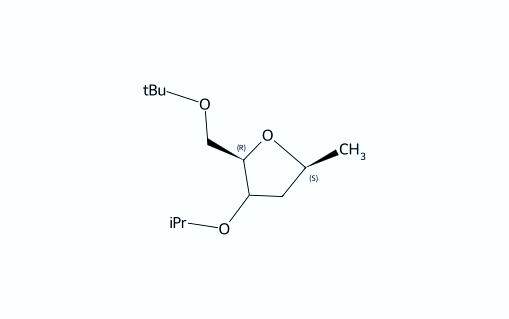 CC(C)OC1C[C@H](C)O[C@@H]1COC(C)(C)C